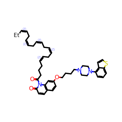 CC/C=C\C/C=C\C/C=C\C/C=C\C/C=C\CCCC(=O)n1c(=O)ccc2ccc(OCCCCN3CCN(c4cccc5sccc45)CC3)cc21